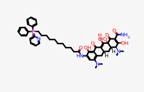 CN(C)c1cc(NC(=O)CCCCCCCCCC[PH](c2ccccc2)(c2ccccc2)c2ccccn2)c(O)c2c1C[C@H]1C[C@H]3[C@H](N(C)C)C(O)=C(C(N)=O)C(=O)[C@@]3(O)C(O)=C1C2=O